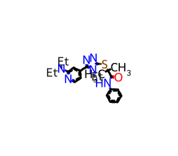 CCN(CC)c1cc(-c2nnc(SC(C)(C)C(=O)Nc3ccccc3)n2CC)ccn1